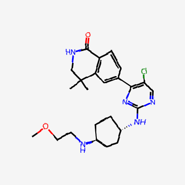 COCCN[C@H]1CC[C@H](Nc2ncc(Cl)c(-c3ccc4c(c3)C(C)(C)CNC4=O)n2)CC1